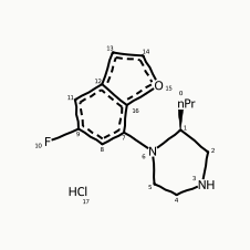 CCC[C@H]1CNCCN1c1cc(F)cc2ccoc12.Cl